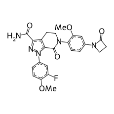 COc1ccc(-n2nc(C(N)=O)c3c2C(=O)N(c2ccc(N4CCC4=O)cc2OC)CC3)cc1F